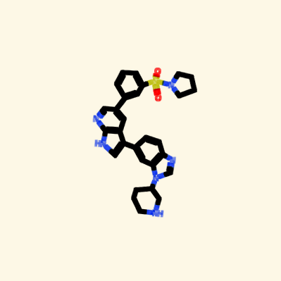 O=S(=O)(c1cccc(-c2cnc3[nH]cc(-c4ccc5ncn(C6CCCNC6)c5c4)c3c2)c1)N1CCCC1